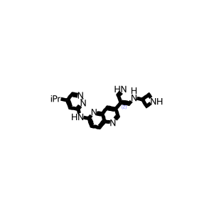 CC(C)c1cnnc(Nc2ccc3ncc(/C(C=N)=C/NC4CNC4)cc3n2)c1